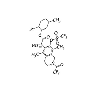 Cc1c2c(c(C)c([C@H](O)C(=O)OC3CC(C)CCC3C(C)C)c1OS(=O)(=O)C(F)(F)F)CCN(C(=O)C(F)(F)F)C2